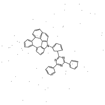 C1=CC(c2nc(-c3ccccc3)nc(-c3ccccc3)n2)CC(n2c3cccc4c3c3c5c(cccc5ccc32)-c2ccccc2-4)=C1